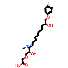 CN[C@H](C=CC=CC=CC=C[C@H](O)COc1ccc(F)cc1)[C@H](O)COCC(=O)O